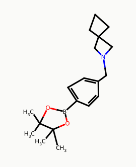 CC1(C)OB(c2ccc(CN3CC4(CCC4)C3)cc2)OC1(C)C